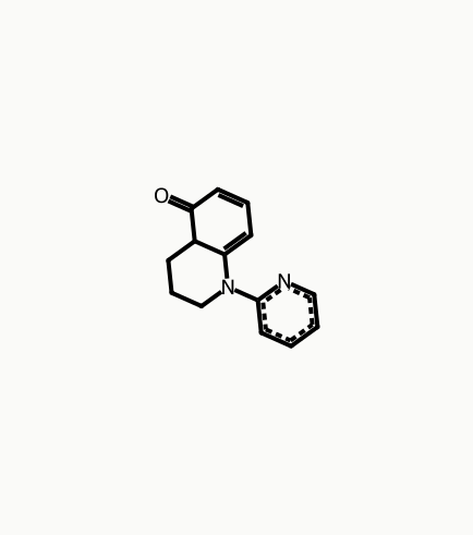 O=C1C=CC=C2C1CCCN2c1ccccn1